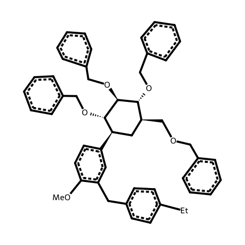 CCc1ccc(Cc2cc([C@@H]3C[C@H](COCc4ccccc4)[C@@H](OCc4ccccc4)[C@H](OCc4ccccc4)[C@H]3OCc3ccccc3)ccc2OC)cc1